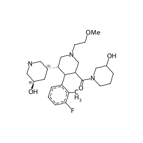 COCCN1CC(C(=O)N2CCCC(O)C2)C(c2cccc(F)c2C)C([C@H]2C[N]C[C@H](O)C2)C1